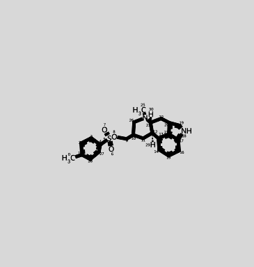 Cc1ccc(S(=O)(=O)OCC2C[C@@H]3c4cccc5[nH]cc(c45)C[C@H]3N(C)C2)cc1